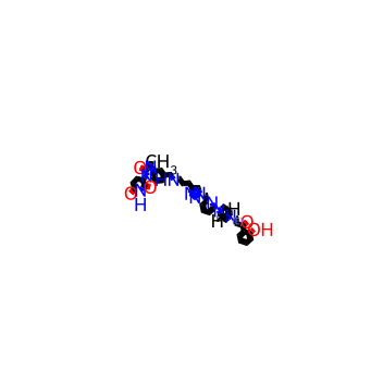 Cn1c(=O)n(C2CCC(=O)NC2=O)c2ccc(CNCCCc3cn(Cc4cccc(N5C[C@H]6C[C@@H]5CN6/C=C/C(=O)c5ccccc5O)n4)nn3)cc21